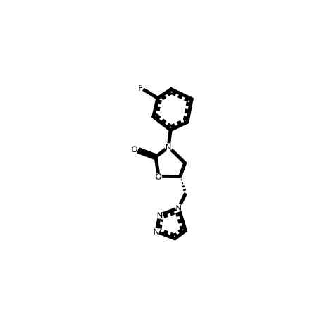 O=C1O[C@@H](Cn2ccnn2)CN1c1cccc(F)c1